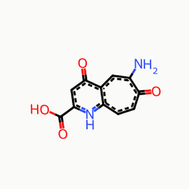 Nc1cc2c(=O)cc(C(=O)O)[nH]c2ccc1=O